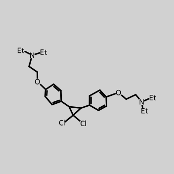 CCN(CC)CCOc1ccc(C2C(c3ccc(OCCN(CC)CC)cc3)C2(Cl)Cl)cc1